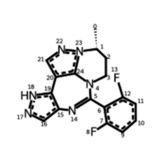 C[C@@H]1CCN2C(c3c(F)cccc3F)=Nc3cn[nH]c3-c3cnn1c32